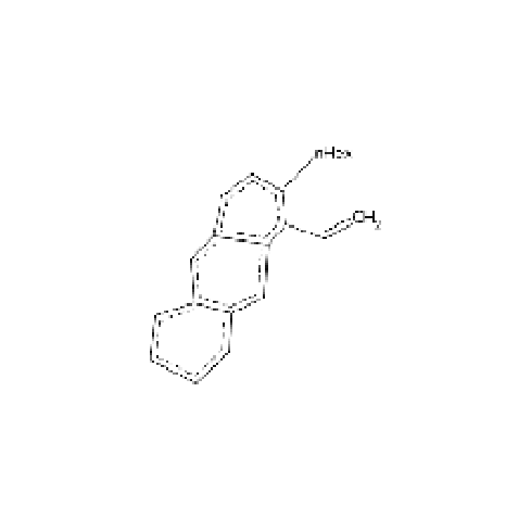 C=Cc1c(CCCCCC)ccc2cc3ccccc3cc12